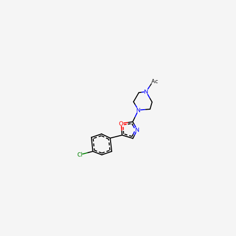 CC(=O)N1CCN(c2ncc(-c3ccc(Cl)cc3)o2)CC1